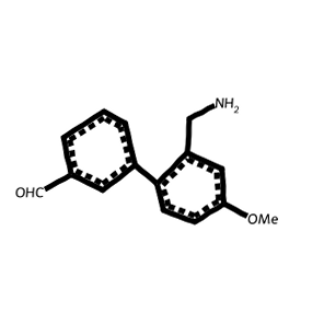 COc1ccc(-c2cccc(C=O)c2)c(CN)c1